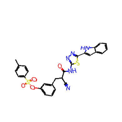 Cc1ccc(S(=O)(=O)Oc2cccc(CC(C#N)C(=O)Nc3nnc(-c4cc5ccccc5[nH]4)s3)c2)cc1